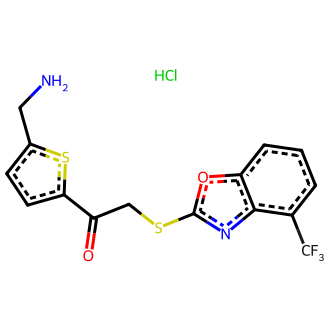 Cl.NCc1ccc(C(=O)CSc2nc3c(C(F)(F)F)cccc3o2)s1